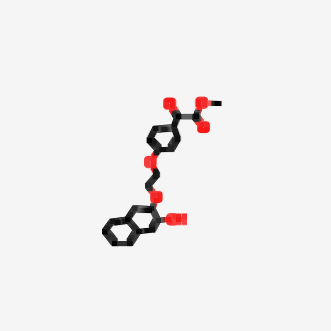 COC(=O)C(=O)c1ccc(OCCOc2cc3ccccc3cc2O)cc1